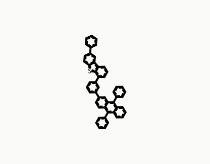 c1ccc(-c2ccc3sc4c(-c5cccc(-c6ccc7c(-c8ccccc8)c8ccccc8c(-c8ccccc8)c7c6)c5)cccc4c3c2)cc1